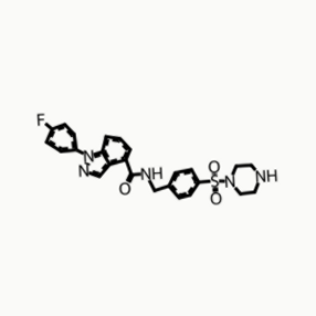 O=C(NCc1ccc(S(=O)(=O)N2CCNCC2)cc1)c1cccc2c1cnn2-c1ccc(F)cc1